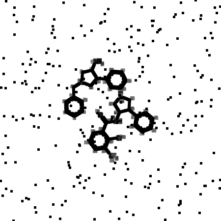 NC1CN(Cc2ccccc2)CC1c1ccccc1.O=C(NC1CNCC1c1ccccc1)c1cccc(C(F)(F)F)c1Cl